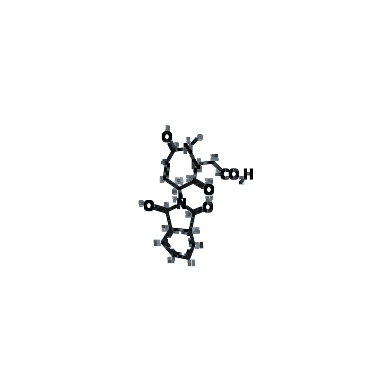 CN1C(=O)C=C[C@H](N2C(=O)c3ccccc3C2=O)C(=O)N1CC(=O)O